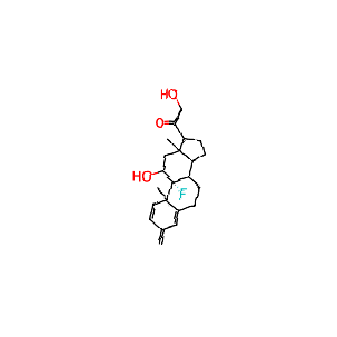 C=C1C=CC2(C)C(=C1)CCC1C3CCC(C(=O)CO)C3(C)CC(O)[C@@]12F